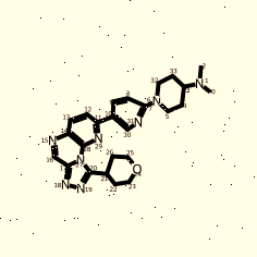 CN(C)C1CCN(c2ccc(-c3ccc4ncc5nnc(C6CCOCC6)n5c4n3)cn2)CC1